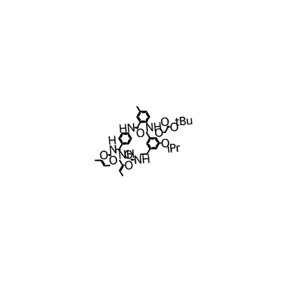 C/C=C(/C)OC(=O)NCCc1cc(CNc2ccc(C)cc2C(=O)Nc2ccc(C(=N)NC(=O)O/C(C)=C\C)cc2)c(OCC(=O)OC(C)(C)C)c(OC(C)C)c1